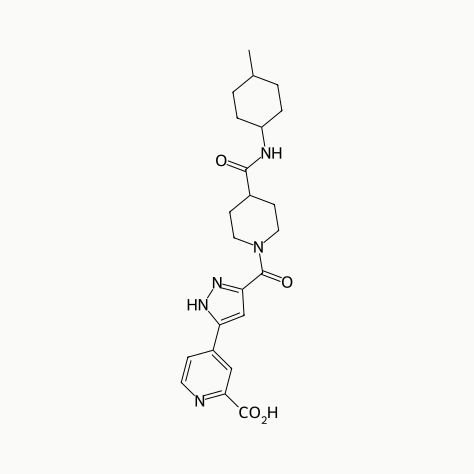 CC1CCC(NC(=O)C2CCN(C(=O)c3cc(-c4ccnc(C(=O)O)c4)[nH]n3)CC2)CC1